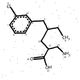 CCC(Cc1cccc(Cl)c1)CC(CN)C(=O)O